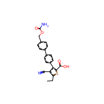 CCc1sc(C(=O)O)c(-c2ccc(-c3ccc(COC(N)=O)cc3)cc2)c1C#N